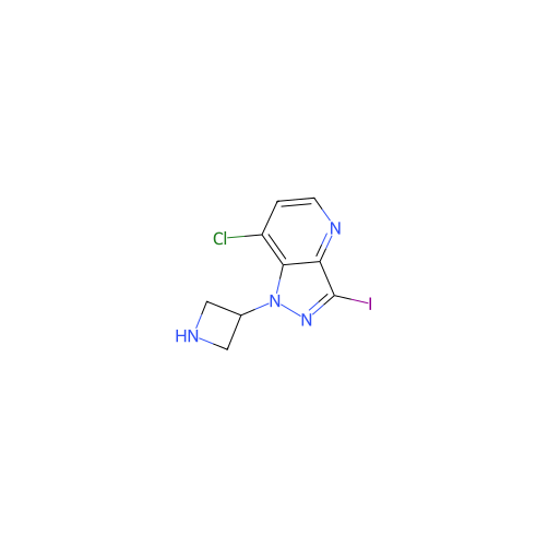 Clc1ccnc2c(I)nn(C3CNC3)c12